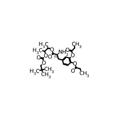 CCC(=O)Oc1ccc(C[C@H](N)C(=O)O[C@@H](C)C(C)OC(=O)OCC(C)(C)C)cc1OC(=O)CC